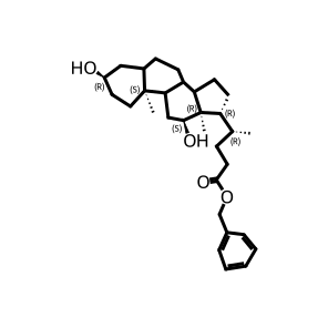 C[C@H](CCC(=O)OCc1ccccc1)[C@H]1CCC2C3CCC4C[C@H](O)CC[C@]4(C)C3C[C@H](O)[C@@]21C